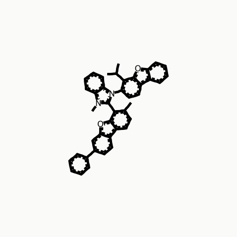 Cc1ccc2c(oc3cc(-c4ccccc4)ccc32)c1-c1n(-c2ccc3c(oc4ccccc43)c2C(C)C)c2ccccc2[n+]1C